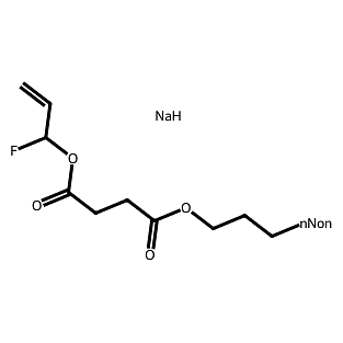 C=CC(F)OC(=O)CCC(=O)OCCCCCCCCCCCC.[NaH]